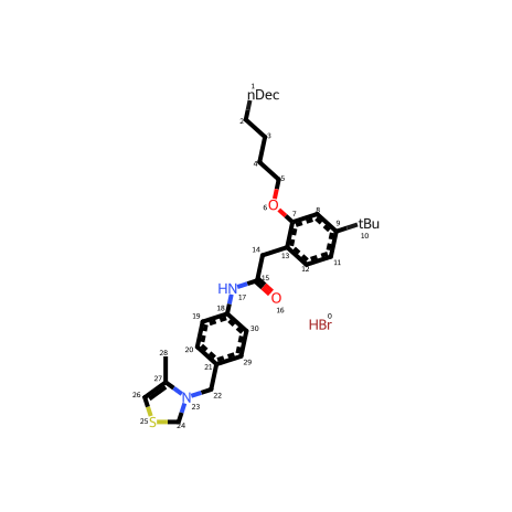 Br.CCCCCCCCCCCCCCOc1cc(C(C)(C)C)ccc1CC(=O)Nc1ccc(CN2CSC=C2C)cc1